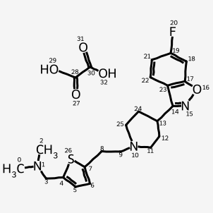 CN(C)Cc1ccc(CCN2CCC(c3noc4cc(F)ccc34)CC2)s1.O=C(O)C(=O)O